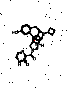 O=C(c1ncc[nH]c1=O)N1C[C@H]2CC34CCC1C2C31CCN(C2CCC2)C4Cc2ccc(O)cc21